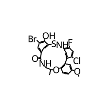 COc1ccc2c(c1)-c1cc(c(F)cc1Cl)NSc1cc(cc(Br)c1O)C(=O)NCC(C)O2